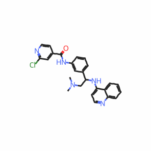 CN(C)CC(Nc1ccnc2ccccc12)c1cccc(NC(=O)c2ccnc(Cl)c2)c1